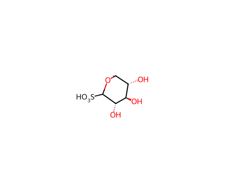 O=S(=O)(O)C1O[CH][C@H](O)[C@@H](O)[C@@H]1O